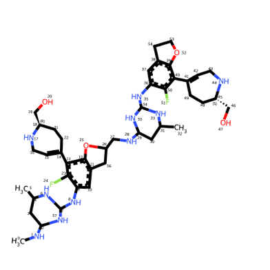 CNC1CC(C)NC(Nc2cc3c(c(C4=CCN[C@@H](CO)CC4)c2F)OC(CNC2CC(C)NC(Nc4cc5c(c(C6=CCN[C@H](CO)CC6)c4F)OCC5)N2)C3)N1